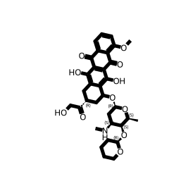 CN[C@H]1C[C@H](OC2C[C@H](C(=O)CO)Cc3c(O)c4c(c(O)c32)C(=O)c2c(OC)cccc2C4=O)O[C@@H](C)[C@H]1O[C@@H]1CCCCO1